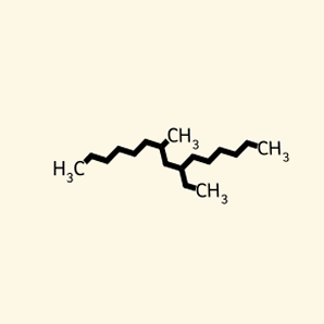 CCCCCCC(C)CC(CC)CCCCCC